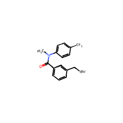 CN(C(=O)c1cccc(CC(C)(C)C)c1)c1ccc(C(F)(F)F)cc1